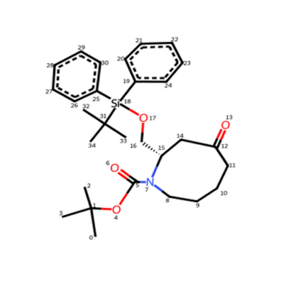 CC(C)(C)OC(=O)N1CCCCC(=O)C[C@H]1CO[Si](c1ccccc1)(c1ccccc1)C(C)(C)C